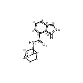 O=C(NC1CN2CCC1CC2)c1cccc2cn[nH]c12